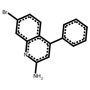 Nc1cc(-c2ccccc2)c2ccc(Br)cc2n1